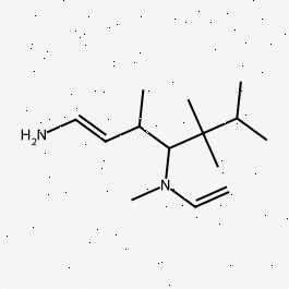 C=CN(C)C(C(C)C=CN)C(C)(C)C(C)C